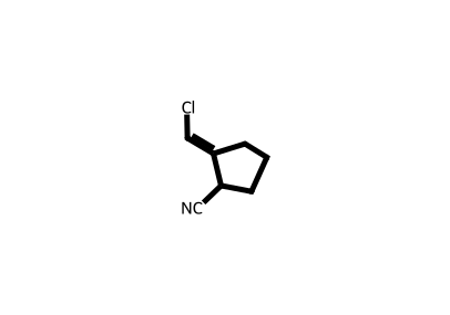 N#CC1CCCC1=CCl